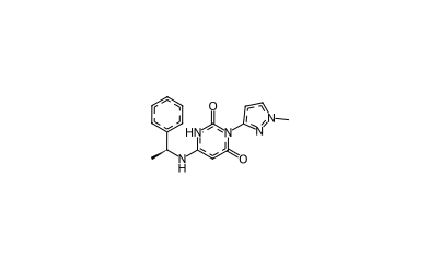 C[C@H](Nc1cc(=O)n(-c2ccn(C)n2)c(=O)[nH]1)c1ccccc1